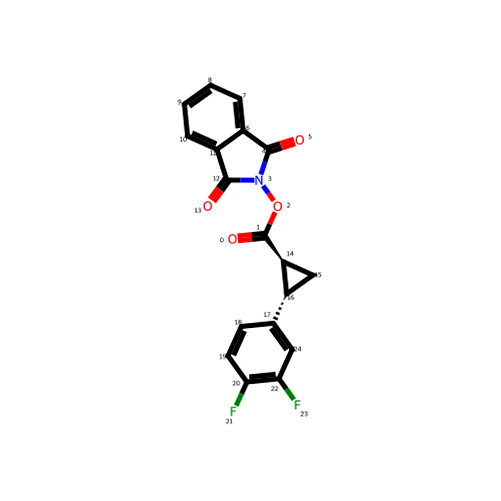 O=C(ON1C(=O)c2ccccc2C1=O)[C@H]1C[C@@H]1c1ccc(F)c(F)c1